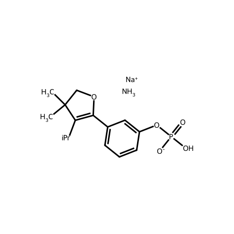 CC(C)C1=C(c2cccc(OP(=O)([O-])O)c2)OCC1(C)C.N.[Na+]